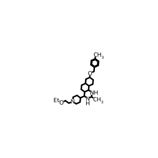 CCOCCN1CCC(C2NC(C)NC3C4CCC(OCc5ccc(C)cc5)CC4CCC23)CC1